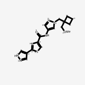 COCC1(Cn2cc(NC(=O)c3csc(-c4cn[nH]c4)n3)cn2)CCC1